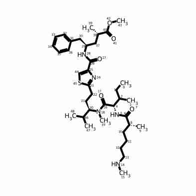 CCC(C)[C@H](NC(=O)[C@H](C)CCCCNC)C(=O)N(C)[C@H](CCc1nc(C(=O)N[C@@H](Cc2ccccc2)C[C@H](C)C(=O)OC)cs1)C(C)C